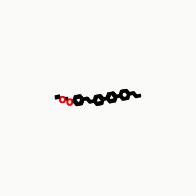 C=COCOc1ccc(CCc2ccc(-c3ccc(C4CCC(CCC)CC4)cc3)cc2)cc1